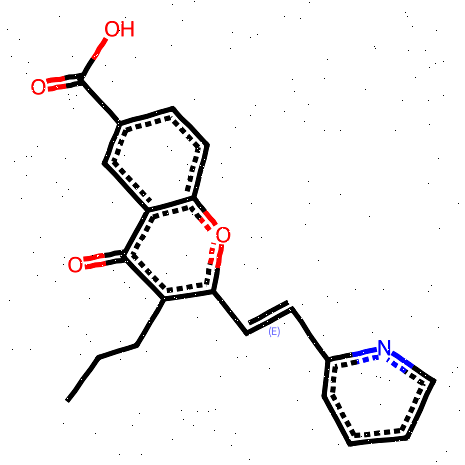 CCCc1c(/C=C/c2ccccn2)oc2ccc(C(=O)O)cc2c1=O